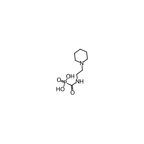 O=C(NCCN1CCCCC1)P(=O)(O)O